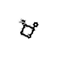 C1=Cc2cc3cc(-c4ccccc4)c(cc4nc(cc5ccc(cc1n2)[nH]5)C=C4)[nH]3.[Cu].c1c[nH]cn1